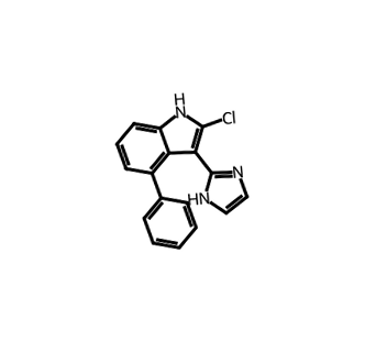 Clc1[nH]c2cccc(-c3ccccc3)c2c1-c1ncc[nH]1